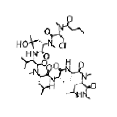 CCCC(=O)N(C)C(CCl)C(=O)N(C)[C@@H](CC(C)(C)O)C(=O)N[C@H](C(=O)N(C)[C@@H](CC(C)C)C(=O)N[C@@H](C)C(=O)N[C@@H](C)C(=O)N(C)[C@@H](CC(C)C)C(=O)NC)C(C)C